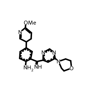 COC1=CCC(c2ccc(N)c(C(=N)c3cc(N4CCOCC4)ncn3)c2)C=N1